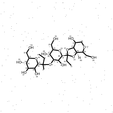 CCC(C)(OC1C(O)[C@H](C2(CC)OC3C(O)COC(CO)[C@H]3O2)OC(CO)[C@H]1O)[C@@H]1OC(CO)[C@@H](O)C(O)C1O